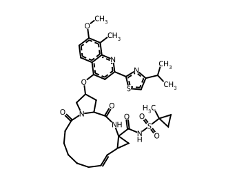 COc1ccc2c(OC3CC4C(=O)NC5(C(=O)NS(=O)(=O)C6(C)CC6)CC5/C=C/CCCCCC(=O)N4C3)cc(-c3nc(C(C)C)cs3)nc2c1C